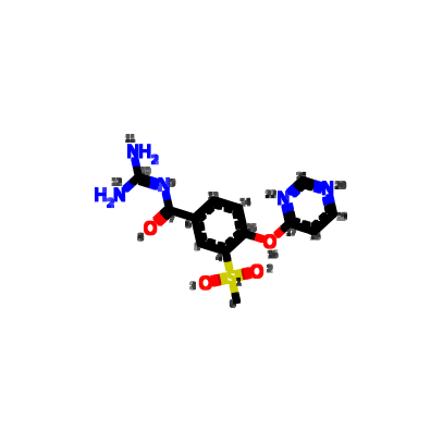 CS(=O)(=O)c1cc(C(=O)N=C(N)N)ccc1Oc1ccncn1